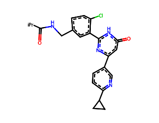 CC(C)C(=O)NCc1ccc(Cl)c(-c2nc(-c3ccc(C4CC4)nc3)cc(=O)[nH]2)c1